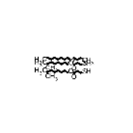 CC(C)CCCCCCOC(=O)CCS.CC(C)CCCCCCOC(=O)CCS.CCCCCCC[CH2][Sn][CH2]CCC